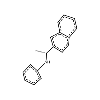 C[C@@H](Nc1ccccc1)c1ccc2ccccc2c1